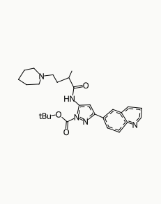 CC(CCN1CCCCC1)C(=O)Nc1cc(-c2ccc3ncccc3c2)nn1C(=O)OC(C)(C)C